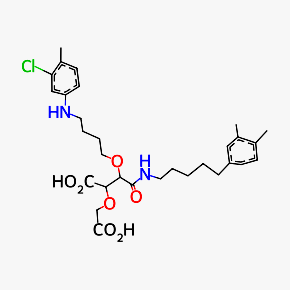 Cc1ccc(CCCCCNC(=O)C(OCCCCNc2ccc(C)c(Cl)c2)C(OCC(=O)O)C(=O)O)cc1C